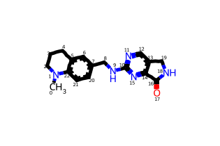 CN1CCCc2cc(CNc3ncc4c(n3)C(=O)NC4)ccc21